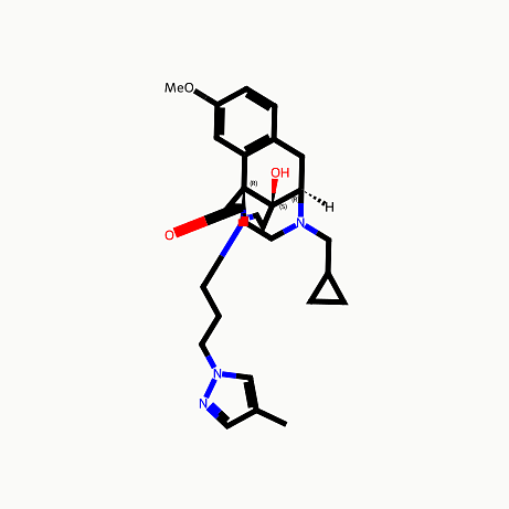 COc1ccc2c(c1)[C@]13CCN(CC4CC4)[C@H](C2)[C@]1(O)CCN(CCCn1cc(C)cn1)C(=O)C3